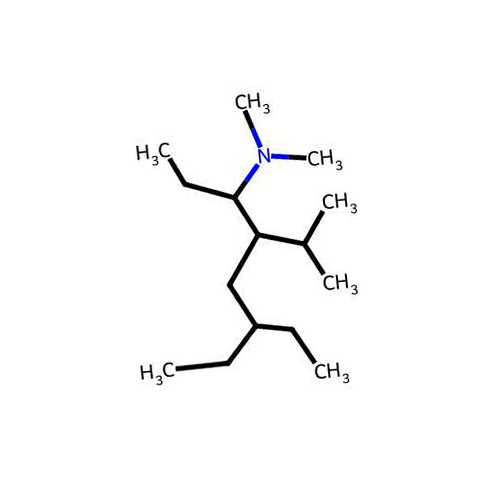 CCC(CC)CC(C(C)C)C(CC)N(C)C